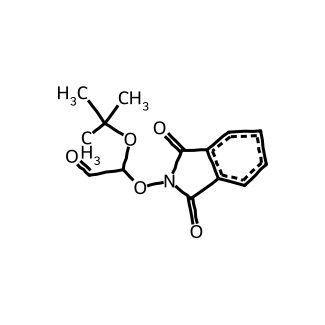 CC(C)(C)OC(C=O)ON1C(=O)c2ccccc2C1=O